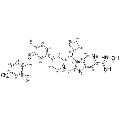 N=C(NO)c1cc2nc(CN3CCC(c4ccc(F)c(OCc5ccc(Cl)cc5F)n4)CC3)n(C[C@@H]3CCO3)c2cn1